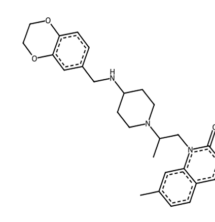 Cc1ccc2ccc(=O)n(CC(C)N3CCC(NCc4ccc5c(c4)OCCO5)CC3)c2c1